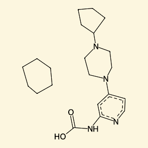 C1CCCCC1.O=C(O)Nc1cc(N2CCN(C3CCCC3)CC2)ccn1